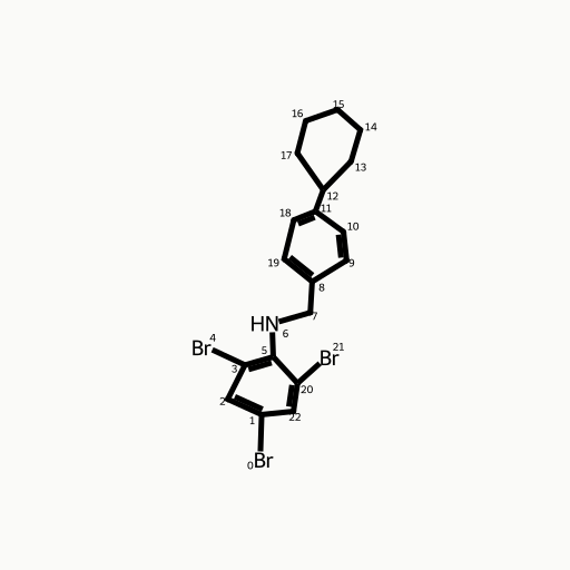 Brc1cc(Br)c(NCc2ccc(C3CCCCC3)cc2)c(Br)c1